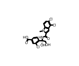 Cn1c(C(=O)N[C@@](O)(CO)c2ccc(C(=O)O)cc2Cl)cc2c(Cl)c(Cl)ccc21